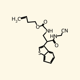 C=CCCOC(=O)NCC(C(=O)NCC#N)c1csc2ccccc12